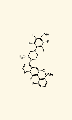 COc1cccc(F)c1-c1c(Cl)cc2c(N3CCN(c4c(F)c(F)c(SC)c(F)c4F)C[C@@H]3C)ccnc2c1F